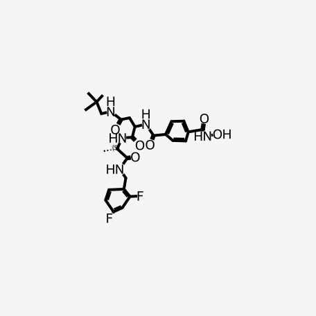 C[C@H](NC(=O)C(CC(=O)NCC(C)(C)C)NC(=O)c1ccc(C(=O)NO)cc1)C(=O)NCc1ccc(F)cc1F